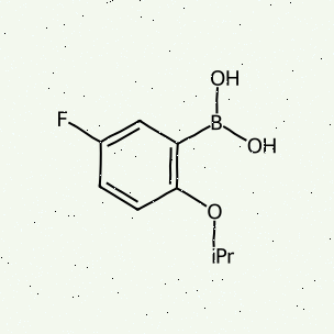 CC(C)Oc1ccc(F)cc1B(O)O